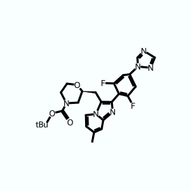 Cc1ccn2c(C[C@H]3CN(C(=O)OC(C)(C)C)CCO3)c(-c3c(F)cc(-n4cncn4)cc3F)nc2c1